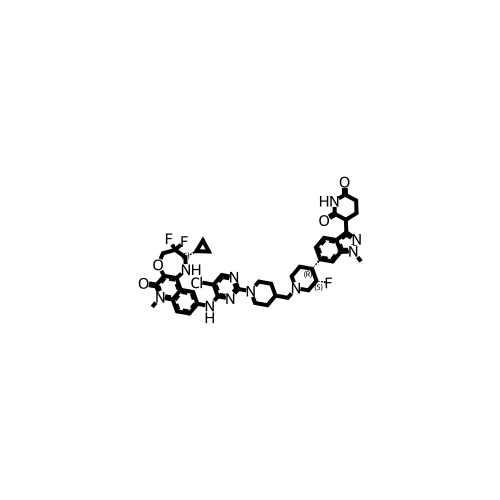 Cn1nc(C2CCC(=O)NC2=O)c2ccc([C@H]3CCN(CC4CCN(c5ncc(Cl)c(Nc6ccc7c(c6)c6c(c(=O)n7C)OCC(F)(F)[C@H](C7CC7)N6)n5)CC4)C[C@H]3F)cc21